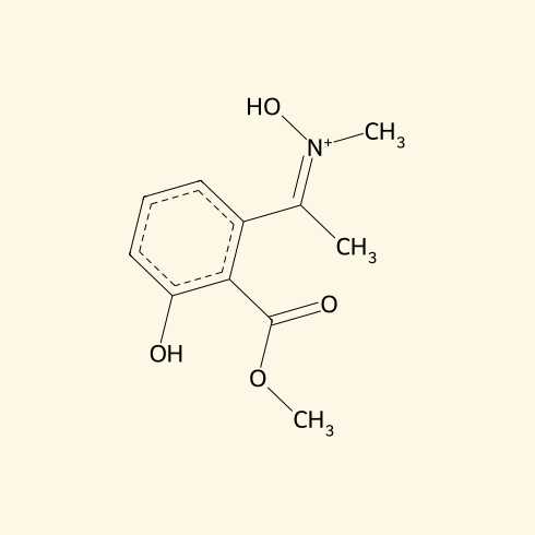 COC(=O)c1c(O)cccc1C(C)=[N+](C)O